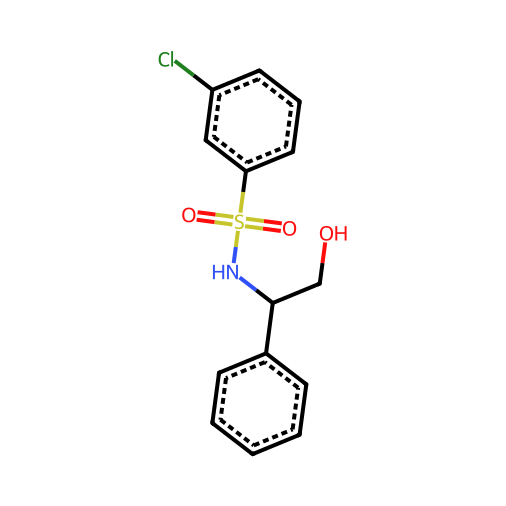 O=S(=O)(NC(CO)c1ccccc1)c1cccc(Cl)c1